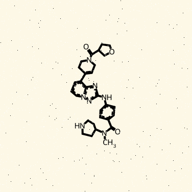 CN(C(=O)c1ccc(Nc2nc3c(C4=CCN(C(=O)C5CCOC5)CC4)cccn3n2)cc1)C1CCNCC1